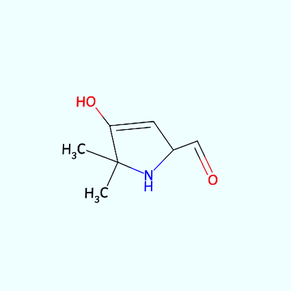 CC1(C)NC(C=O)C=C1O